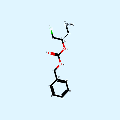 CC(=O)NC[C@@H](CCl)OC(=O)OCc1ccccc1